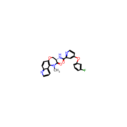 CN1C(=O)[C@@H](NC(=O)c2cc(Oc3cccc(F)c3)ccn2)COc2ccc3ncccc3c21